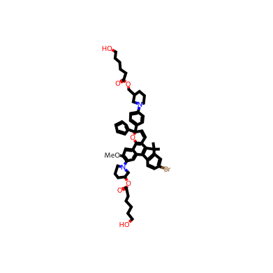 COc1cc2c3c(c4c(c2cc1N1CCCC(OC(=O)CCCCCO)C1)-c1ccc(Br)cc1C4(C)C)C=CC(c1ccccc1)(c1ccc(N2CCCC(COC(=O)CCCCCO)C2)cc1)O3